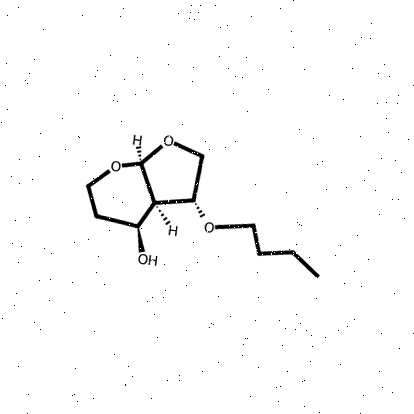 CCCCO[C@H]1CO[C@@H]2OCC[C@H](O)[C@@H]21